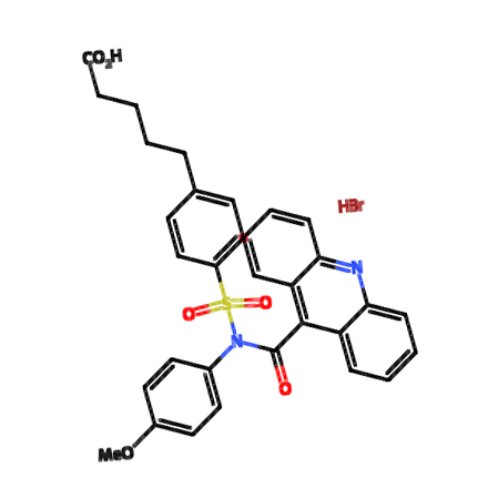 Br.COc1ccc(N(C(=O)c2c3ccccc3nc3ccccc23)S(=O)(=O)c2ccc(CCCCC(=O)O)cc2)cc1